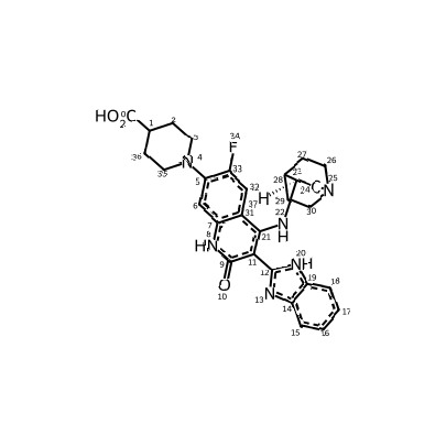 O=C(O)C1CCN(c2cc3[nH]c(=O)c(-c4nc5ccccc5[nH]4)c(N[C@@H]4CN5CCC4CC5)c3cc2F)CC1